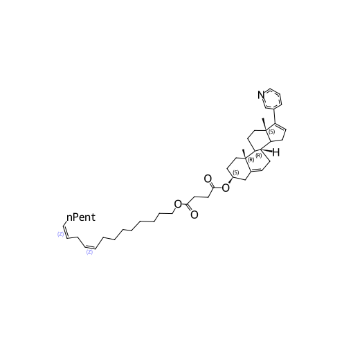 CCCCC/C=C\C/C=C\CCCCCCCCOC(=O)CCC(=O)O[C@H]1CC[C@@]2(C)C(=CC[C@@H]3C2CC[C@]2(C)C(c4cccnc4)=CCC32)C1